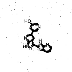 Oc1cncc(-c2cnc3[nH]nc(-c4nc5cccnc5[nH]4)c3c2)c1